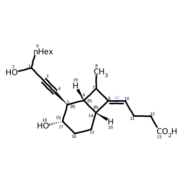 CCCCCCC(O)C#C[C@H]1[C@@H]2C(C)/C(=C/CCC(=O)O)[C@@H]2CC[C@@H]1O